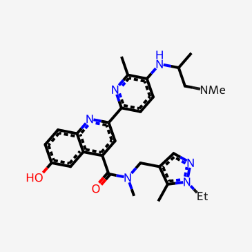 CCn1ncc(CN(C)C(=O)c2cc(-c3ccc(NC(C)CNC)c(C)n3)nc3ccc(O)cc23)c1C